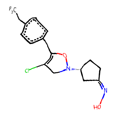 ON=C1CC[C@@H](N2CC(Cl)=C(c3ccc(C(F)(F)F)cc3)O2)C1